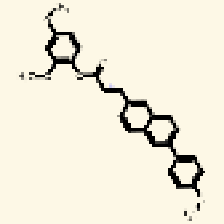 COc1ccc(-c2ccc3cc(/C=C/C(=O)Oc4ccc(OC)cc4OC)ccc3c2)cc1